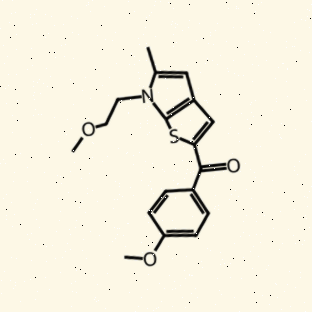 COCCn1c(C)cc2cc(C(=O)c3ccc(OC)cc3)sc21